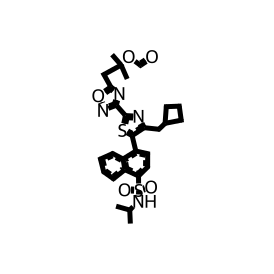 CC(C)NS(=O)(=O)c1ccc(-c2sc(-c3noc(CC(C)(C)OC=O)n3)nc2CC2CCC2)c2ccccc12